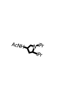 CC(=O)NC1CC(C(C)C)N(C(C)C)C1